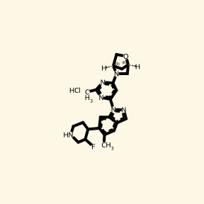 Cc1nc(N2C[C@H]3C[C@@H]2CO3)cc(-n2ncc3cc(C)c(C4CCNCC4F)cc32)n1.Cl